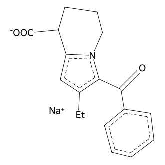 CCc1cc2n(c1C(=O)c1ccccc1)CCCC2C(=O)[O-].[Na+]